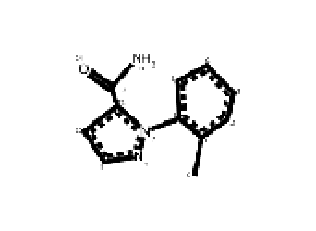 Cc1ccccc1-n1nccc1C(N)=O